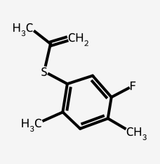 C=C(C)Sc1cc(F)c(C)cc1C